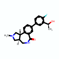 C[C@H](O)c1cc(-c2ccc3c(c2)C(=O)NC[C@H]2CN(C)C[C@H]32)ccc1F